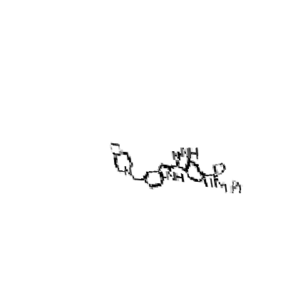 CCCNC(=O)c1ccc2c(-c3cc4cc(CN5CCOCC5)ccc4[nH]3)n[nH]c2c1